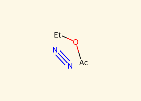 CCOC(C)=O.N#N